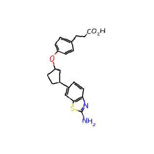 Nc1nc2ccc(C3CCC(Oc4ccc(CCC(=O)O)cc4)C3)cc2s1